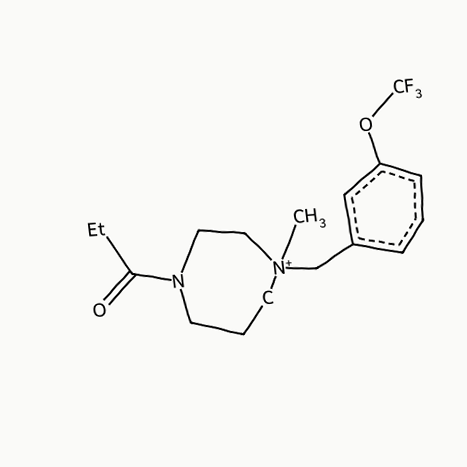 CCC(=O)N1CCC[N+](C)(Cc2cccc(OC(F)(F)F)c2)CC1